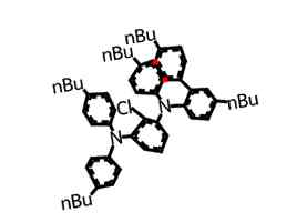 CCCCc1ccc(-c2cc(CCCC)ccc2N(c2ccc(CCCC)cc2)c2cccc(N(c3ccc(CCCC)cc3)c3ccc(CCCC)cc3)c2Cl)cc1